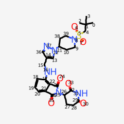 CC(C)(C)CS(=O)(=O)N1CCC(n2cc(CNc3cccc4c3C(=O)N(C3CCC(=O)NC3=O)C4=O)cn2)CC1